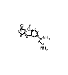 COc1ccc(C(N)CCN)cc1Cc1cnc(Cl)s1